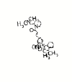 CC(C)c1ccccc1Sc1ccc(C=CC(=O)N2CCCCC2CN(C)C)cc1[N+](=O)[O-]